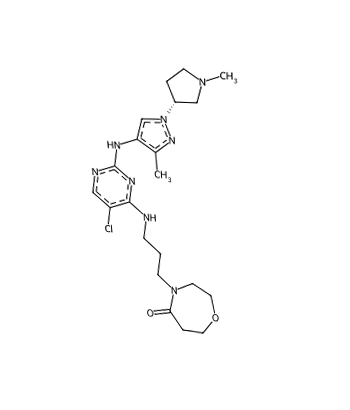 Cc1nn([C@@H]2CCN(C)C2)cc1Nc1ncc(Cl)c(NCCCN2CCOCCC2=O)n1